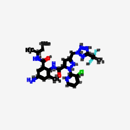 CSC[C@H](C)NC(=O)c1cc(N)cc(C)c1NC(=O)c1cc(Cn2nnc(C(F)(F)C(F)(F)F)n2)nn1-c1ncccc1Cl